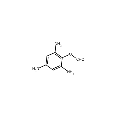 Nc1cc(N)c(OC=O)c(N)c1